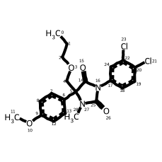 CCCOCC1(c2ccc(OC)cc2)C(=O)N(c2ccc(Cl)c(Cl)c2)C(=O)N1C